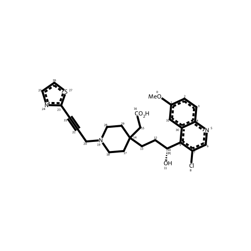 COc1ccc2ncc(Cl)c([C@H](O)CCC3(CC(=O)O)CCN(CC#Cc4nccs4)CC3)c2c1